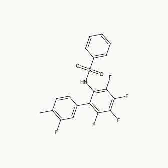 Cc1ccc(-c2c(F)c(F)c(F)c(F)c2NS(=O)(=O)c2ccccc2)cc1F